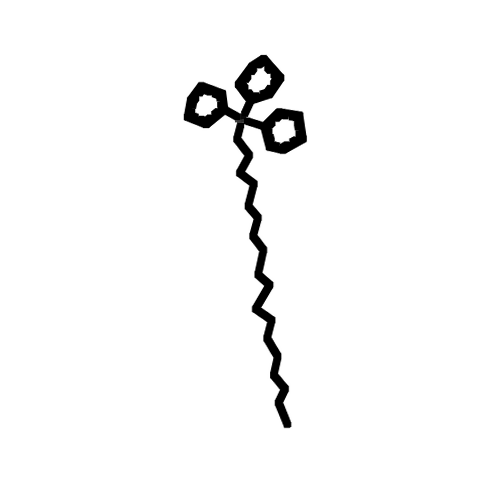 CCCCCCCCCCCCCCCCCC[P](c1ccccc1)(c1ccccc1)c1ccccc1